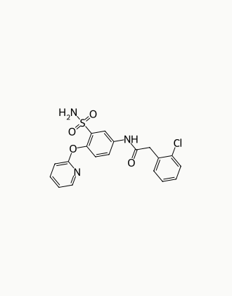 NS(=O)(=O)c1cc(NC(=O)Cc2ccccc2Cl)ccc1Oc1ccccn1